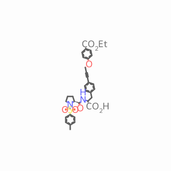 CCOC(=O)c1ccc(OCC#Cc2ccc(CC(NC(=O)[C@@H]3CCCN3S(=O)(=O)c3ccc(C)cc3)C(=O)O)cc2)cc1